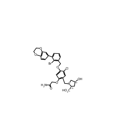 NC(=O)COc1cc(OCc2cccc(-c3ccc4c(c3)OCCO4)c2Br)c(Cl)cc1CN1C[C@@H](O)C[C@H]1C(=O)O